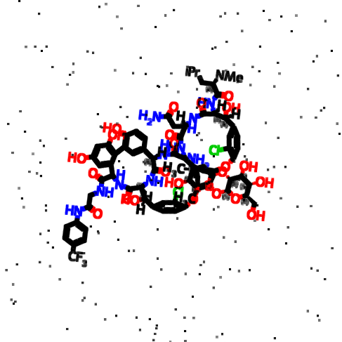 CN[C@H](CC(C)C)C(=O)N[C@H]1C(=O)N[C@@H](CC(N)=O)C(=O)NC2C(=O)N[C@H]3C(=O)N[C@H](C(=O)NC(C(=O)NCC(=O)Nc4ccc(C(F)(F)F)cc4)c4cc(O)cc(O)c4-c4cc3ccc4O)[C@H](O)c3ccc(c(Cl)c3)Oc3cc2cc(c3O[C@@H]2O[C@H](CO)[C@@H](O)[C@H](O)[C@H]2OC2C[C@](C)(N)[C@H](O)[C@H](C)O2)Oc2ccc(cc2Cl)[C@H]1O